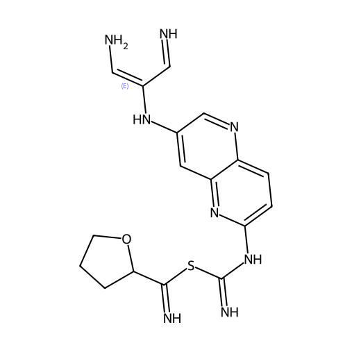 N=C/C(=C\N)Nc1cnc2ccc(NC(=N)SC(=N)C3CCCO3)nc2c1